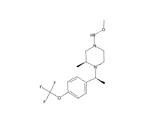 COBN1CCN([C@@H](C)c2ccc(OC(F)(F)F)cc2)[C@@H](C)C1